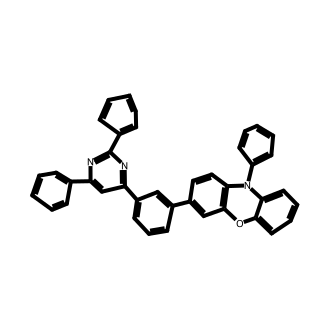 c1ccc(-c2cc(-c3cccc(-c4ccc5c(c4)Oc4ccccc4N5c4ccccc4)c3)nc(-c3ccccc3)n2)cc1